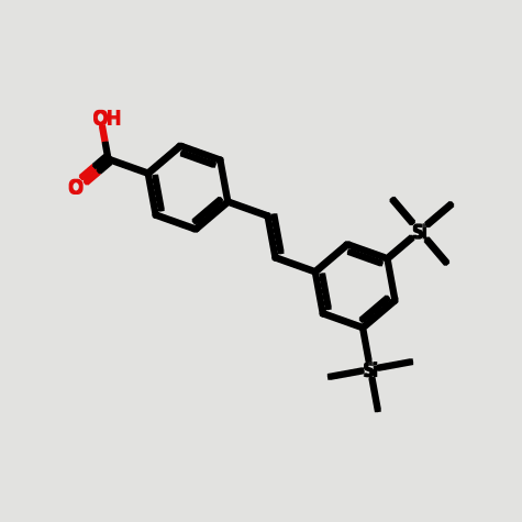 C[Si](C)(C)c1cc(C=Cc2ccc(C(=O)O)cc2)cc([Si](C)(C)C)c1